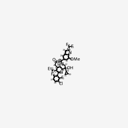 CCOc1c(CC(N)=O)cc([C@@](O)(CNC(=O)c2cc(OC)c3nn(C(F)F)cc3c2)C2CC2)nc1-c1c(F)ccc(Cl)c1F